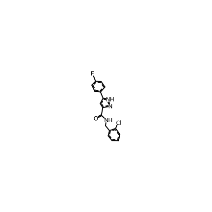 O=C(NCc1ccccc1Cl)c1cc(-c2ccc(F)cc2)[nH]n1